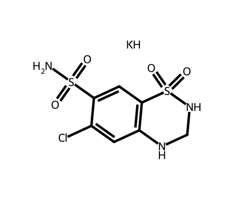 NS(=O)(=O)c1cc2c(cc1Cl)NCNS2(=O)=O.[KH]